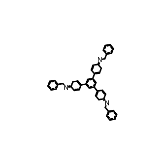 C1=CC(=NCc2ccccc2)CC=C1c1cc(C2=CCC(=NCc3ccccc3)C=C2)cc(C2=CCC(=NCc3ccccc3)C=C2)c1